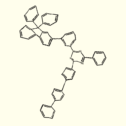 c1ccc(-c2ccc(-c3ccc(-c4nc(-c5ccccc5)nc(-c5cccc(-c6ccc7c(c6)C(c6ccccc6)(c6ccccc6)c6ccccc6-7)c5)n4)cc3)cc2)cc1